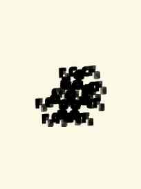 FC(F)(F)c1cc(-c2cc(-c3cc(C(F)(F)F)cc(C(F)(F)F)c3)cc(N(c3ccc(N(c4cc(-c5cc(C(F)(F)F)cc(C(F)(F)F)c5)cc(-c5cc(C(F)(F)F)cc(C(F)(F)F)c5)c4)c4cc(-c5cc(C(F)(F)F)cc(C(F)(F)F)c5)cc(-c5cc(C(F)(F)F)cc(C(F)(F)F)c5)c4)cc3)c3cccnc3)c2)cc(C(F)(F)F)c1